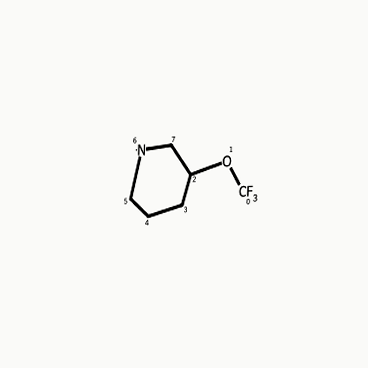 FC(F)(F)OC1CCC[N]C1